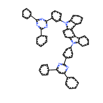 c1ccc(-c2cc(-c3ccccc3)nc(-c3ccc(-n4c5ccccc5c5c6c7ccccc7n(-c7cccc(-c8nc(-c9ccccc9)nc(-c9ccccc9)n8)c7)c6ccc54)cc3)n2)cc1